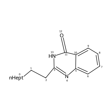 CCCCCCCCCc1nc2ccccc2c(=O)[nH]1